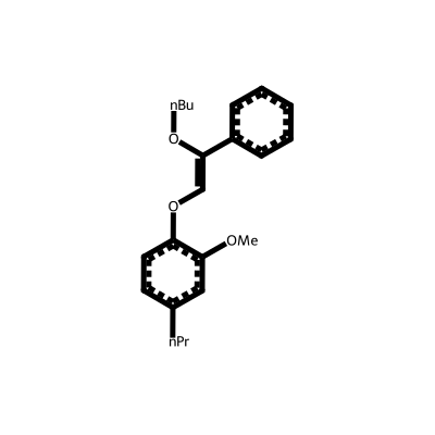 CCCCOC(=COc1ccc(CCC)cc1OC)c1ccccc1